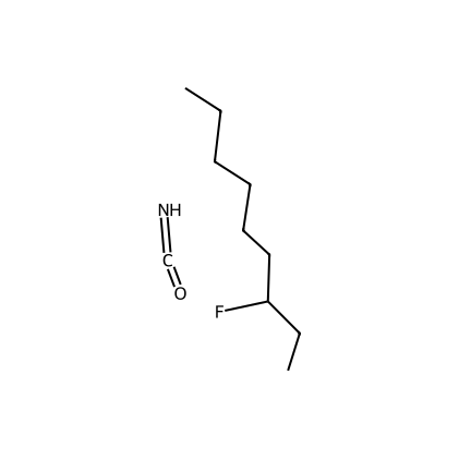 CCCCCCC(F)CC.N=C=O